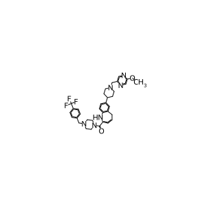 COc1cnc(CN2CCC(c3ccc4c(c3)CC=C=C(C(=O)N3CCN(Cc5ccc(C(F)(F)F)cc5)CC3)N4)CC2)cn1